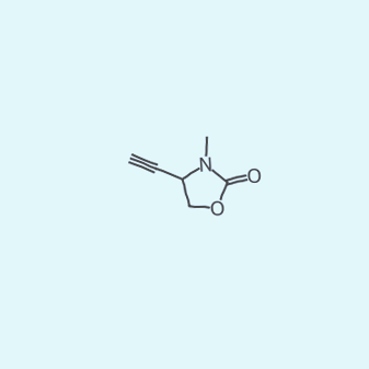 C#CC1COC(=O)N1C